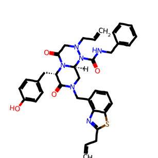 C=CCc1nc2c(CN3C[C@H]4N(C(=O)CN(CC=C)N4C(=O)NCc4ccccc4)[C@@H](Cc4ccc(O)cc4)C3=O)cccc2s1